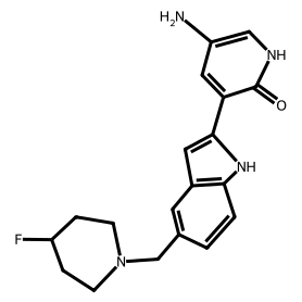 Nc1c[nH]c(=O)c(-c2cc3cc(CN4CCC(F)CC4)ccc3[nH]2)c1